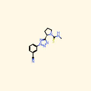 CNC(=S)N1CCC[C@@H]1c1nnn(-c2cccc(C#N)c2)n1